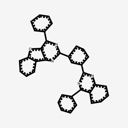 c1ccc(-c2nc(-c3cccc(-c4nc(-c5ccccc5)c5oc6ccccc6c5n4)c3)nc3ccccc23)cc1